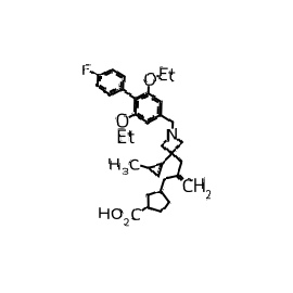 C=C(CC1CCC(C(=O)O)C1)CC1(C2CC2C)CN(Cc2cc(OCC)c(-c3ccc(F)cc3)c(OCC)c2)C1